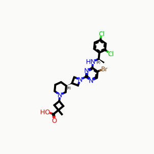 C[C@@H](Nc1nc(N2CC([C@H]3CCCN(C4CC(C)(C(=O)O)C4)C3)C2)ncc1Br)c1ccc(Cl)cc1Cl